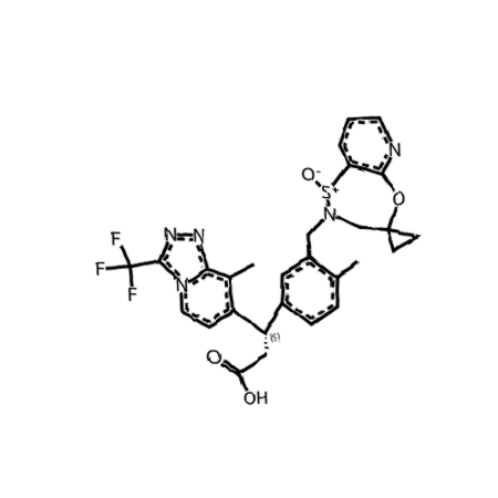 Cc1ccc([C@H](CC(=O)O)c2ccn3c(C(F)(F)F)nnc3c2C)cc1CN1CC2(CC2)Oc2ncccc2[S+]1[O-]